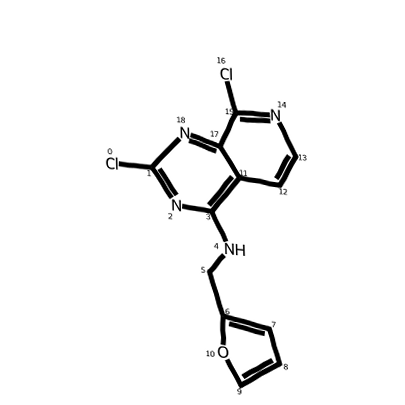 Clc1nc(NCc2ccco2)c2ccnc(Cl)c2n1